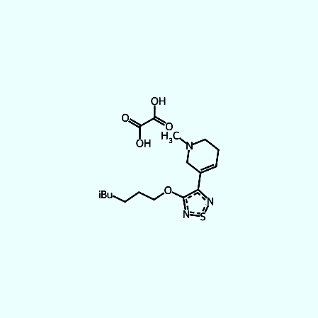 CCC(C)CCCOc1nsnc1C1=CCCN(C)C1.O=C(O)C(=O)O